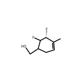 CC1=CCC(CO)C(F)[C@@H]1F